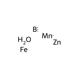 O.[B].[Fe].[Mn].[Zn]